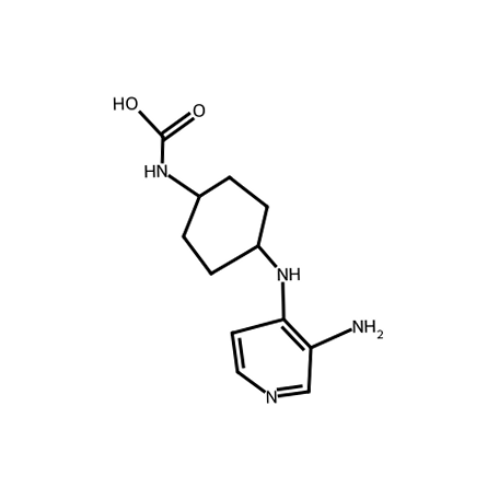 Nc1cnccc1NC1CCC(NC(=O)O)CC1